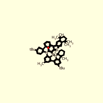 Cc1cc2c3c(c1)N(c1ccc(C(C)(C)C)cc1-c1ccccc1)c1ccc4c(sc5cc6c(cc54)C(C)(C)CCC6(C)C)c1B3N1c3c-2cc(C(C)(C)C)cc3C2(C)CCCCC12C